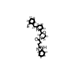 O=C(CCc1nc2ccccc2[nH]1)N1CCOC(c2cccc(Cc3ccccc3F)n2)C1